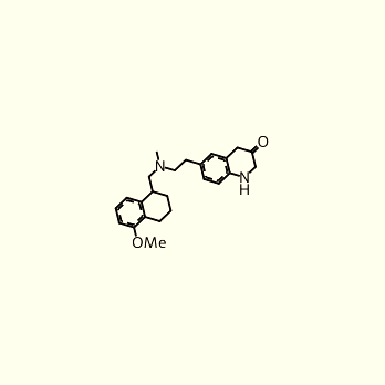 COc1cccc2c1CCCC2CN(C)CCc1ccc2c(c1)CC(=O)CN2